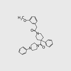 COc1cccc(CC(=O)N2CCC(C(=O)N3CCN(c4ccccc4)CC3)(c3ccccc3)CC2)c1